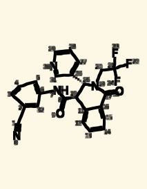 N#Cc1cccc(NC(=O)[C@@H]2c3ccccc3C(=O)N(CC(F)(F)F)[C@H]2c2cccnc2)c1